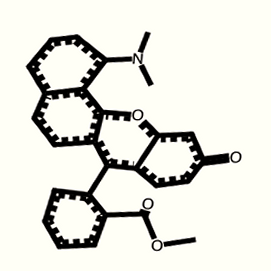 COC(=O)c1ccccc1-c1c2ccc(=O)cc-2oc2c1ccc1cccc(N(C)C)c12